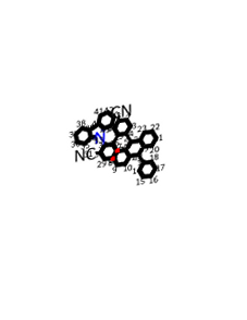 N#Cc1ccc(-c2c3ccccc3c(-c3ccccc3)c3ccccc23)c(-c2cccc(C#N)c2-n2c3ccccc3c3ccccc32)c1